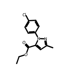 CCOC(=O)c1cc(C)nn1-c1ccc(Cl)cc1